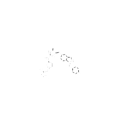 CN(C1=NC(=O)/C(=C/c2ccc3c(cnn3Cc3ccc(Cl)cc3C(F)(F)F)c2)S1)[C@H]1CCN(CC(N)=O)C1